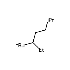 [CH2]C(C)(C)C(CC)CCC(C)C